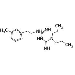 CCCN(CCC)C(=N)NC(=N)NCCc1cccc(C)c1